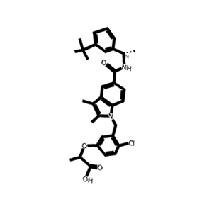 Cc1c(C)n(Cc2cc(OC(C)C(=O)O)ccc2Cl)c2ccc(C(=O)N[C@@H](C)c3cccc(C(C)(C)C)c3)cc12